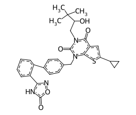 CC(C)(C)C(O)Cn1c(=O)c2cc(C3CC3)sc2n(Cc2ccc(-c3ccccc3-c3noc(=O)[nH]3)cc2)c1=O